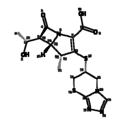 C[C@@H](O)[C@H]1C(=O)N2C(C(=O)O)=C(SC3CSc4nncn4C3)[C@H](C)[C@H]12